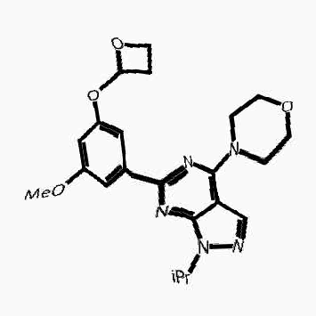 COc1cc(OC2CCO2)cc(-c2nc(N3CCOCC3)c3cnn(C(C)C)c3n2)c1